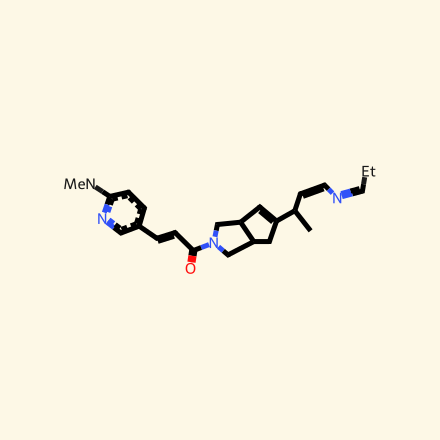 CC/C=N\C=C/C(C)C1=CC2CN(C(=O)/C=C/c3ccc(NC)nc3)CC2C1